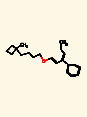 C=C/C=C(\C=C\OCCCCC1(C)CCC1)c1ccccc1